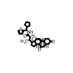 C[C@H](CC(=O)NC(c1cccs1)C1CCCC1)C1CC[C@H]2[C@@H]3C(=O)C[C@@H]4CC(=O)CC[C@]4(C)[C@H]3CC[C@]12C